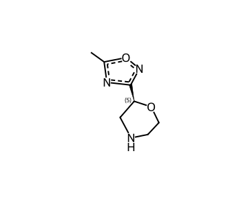 Cc1nc([C@@H]2CNCCO2)no1